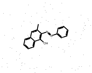 Cc1cc2ccccc2c(O)c1N=Nc1ccccc1